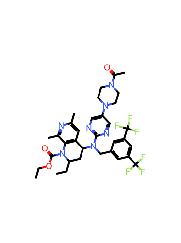 CCOC(=O)N1c2c(cc(C)nc2C)C(N(Cc2cc(C(F)(F)F)cc(C(F)(F)F)c2)c2ncc(N3CCN(C(C)=O)CC3)cn2)CC1CC